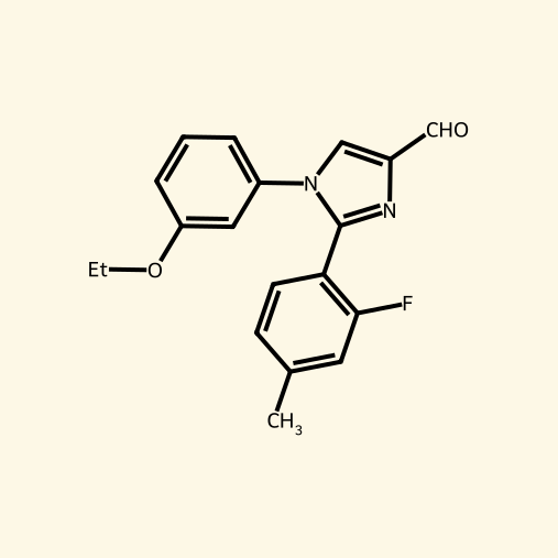 CCOc1cccc(-n2cc(C=O)nc2-c2ccc(C)cc2F)c1